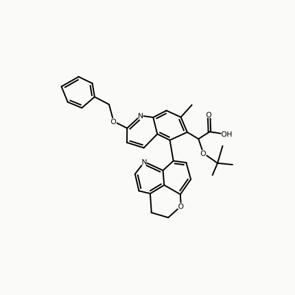 Cc1cc2nc(OCc3ccccc3)ccc2c(-c2ccc3c4c(ccnc24)CCO3)c1C(OC(C)(C)C)C(=O)O